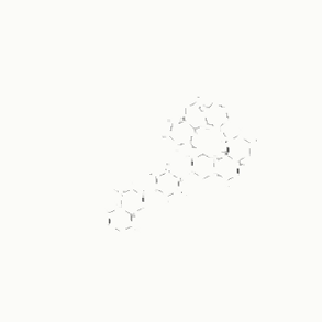 c1ccc2ncc(-c3cnc(-c4cc5ccc6cccc7c8cccc9ccc%10cccc(c(c4)c5c67)c%10c98)nc3)cc2c1